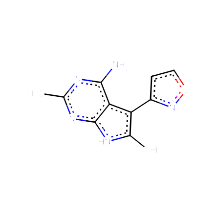 Cc1nc(N)c2c(-c3ccon3)c(C)[nH]c2n1